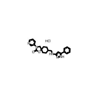 Cl.O=C1OC2(CCC(CNc3cc(-c4ccccc4)[nH]n3)CC2)CN1c1cccnc1